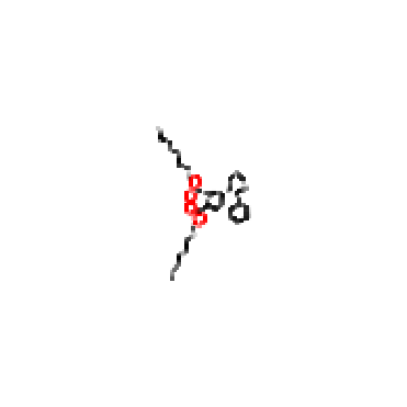 CCCCCCCCOC(=O)c1ccccc1C(=O)OCCCCCCCC.c1ccc(-c2ccccc2)cc1